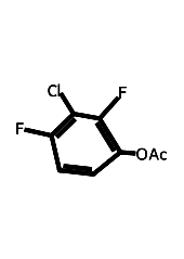 CC(=O)Oc1ccc(F)c(Cl)c1F